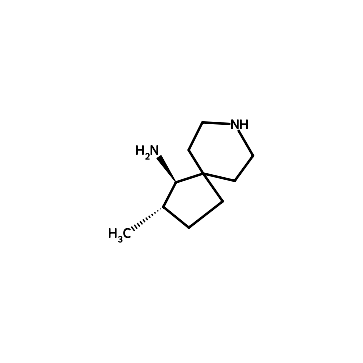 C[C@H]1CCC2(CCNCC2)[C@@H]1N